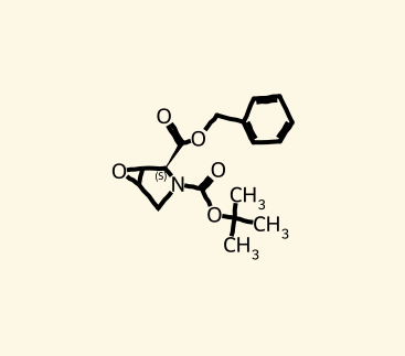 CC(C)(C)OC(=O)N1CC2OC2[C@H]1C(=O)OCc1ccccc1